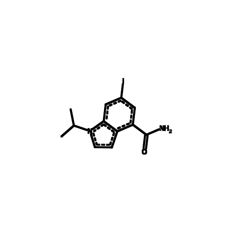 CC(C)n1ccc2c(C(N)=O)cc(I)cc21